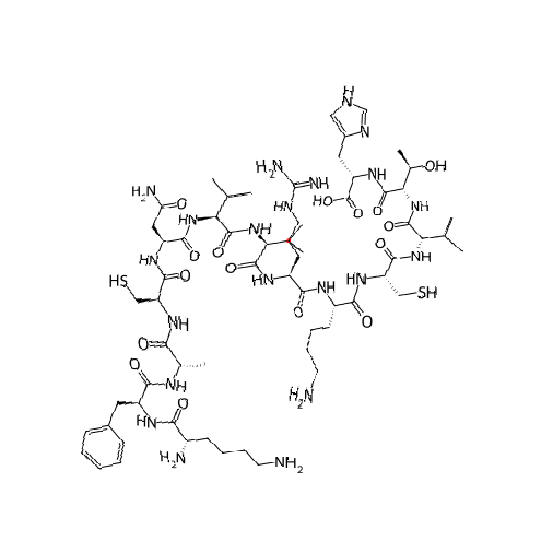 CC(C)[C@H](NC(=O)[C@H](CC(N)=O)NC(=O)[C@H](CS)NC(=O)[C@H](C)NC(=O)[C@H](Cc1ccccc1)NC(=O)[C@@H](N)CCCCN)C(=O)N[C@H](C(=O)N[C@@H](CCCNC(=N)N)C(=O)N[C@@H](CCCCN)C(=O)N[C@@H](CS)C(=O)N[C@H](C(=O)N[C@H](C(=O)N[C@@H](Cc1c[nH]cn1)C(=O)O)[C@@H](C)O)C(C)C)C(C)C